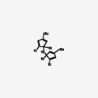 CCCCC1=C[C](CC)([Hf][C]2(CC)C=C(CCCC)C=C2CC)C(CC)=C1